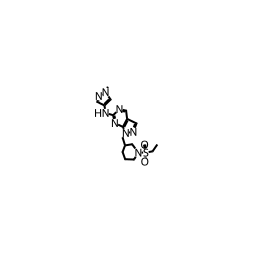 CCS(=O)(=O)N1CCCC(Cn2ncc3cnc(Nc4cnn(C)c4)nc32)C1